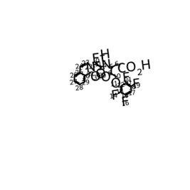 CC[C@@H](C(=O)NC(CC(=O)O)C(=O)COc1c(F)c(F)cc(F)c1F)n1ccc2ccccc2c1=O